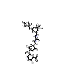 CNNC(=O)C[C@@H]1C[C@@]2(C[C@@H](/C=C/C(C)=C/C[C@@H]3O[C@H](C)C(NC(=O)/C=C\[C@H](C)CC(C)=O)C[C@@H]3C)O1)O[C@@H]2C